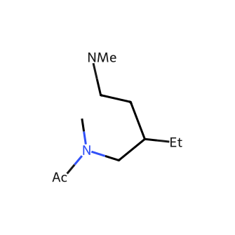 CCC(CCNC)CN(C)C(C)=O